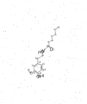 CCCCCCC(=O)NCCc1ccc(O)c(OC)c1